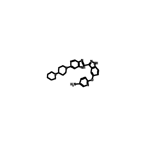 Nc1ccc(Oc2ccc3[nH]nc(-c4nc5ccc(N6CCC(N7CCCCC7)CC6)cc5[nH]4)c3c2)nc1